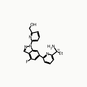 CC[C@H](N)c1cccc(-c2cc(F)c3cnn(-c4cccc(CO)n4)c3c2)n1